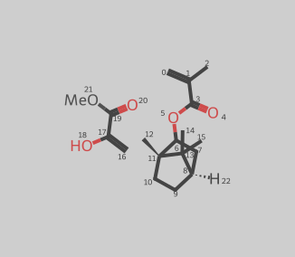 C=C(C)C(=O)OC1C[C@H]2CC[C@@]1(C)C2(C)C.C=C(O)C(=O)OC